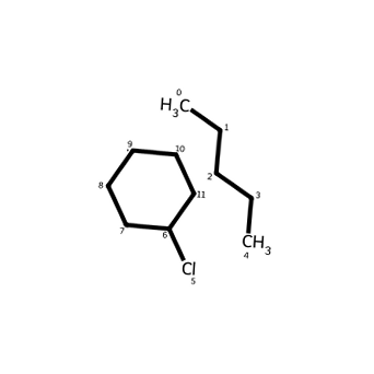 CCCCC.ClC1CC[CH]CC1